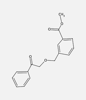 COC(=O)c1cccc(COCC(=O)c2ccccc2)c1